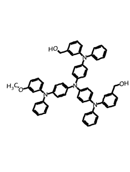 COc1cccc(N(c2ccccc2)c2ccc(N(c3ccc(N(c4ccccc4)c4cccc(CO)c4)cc3)c3ccc(N(c4ccccc4)c4cccc(CO)c4)cc3)cc2)c1